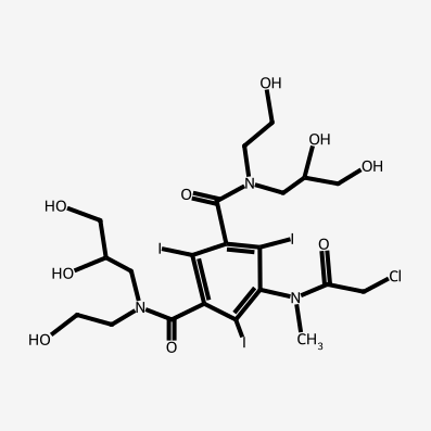 CN(C(=O)CCl)c1c(I)c(C(=O)N(CCO)CC(O)CO)c(I)c(C(=O)N(CCO)CC(O)CO)c1I